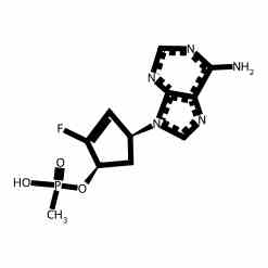 CP(=O)(O)O[C@@H]1C[C@H](n2cnc3c(N)ncnc32)C=C1F